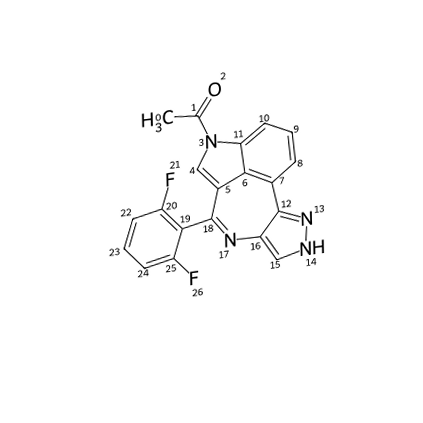 CC(=O)n1cc2c3c(cccc31)-c1n[nH]cc1N=C2c1c(F)cccc1F